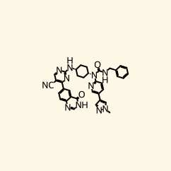 Cn1cc(-c2ccc(N(C(=O)NCc3ccccc3)[C@H]3CC[C@H](Nc4ncc(C#N)c(-c5ccc6nc[nH]c(=O)c6c5)n4)CC3)nc2)cn1